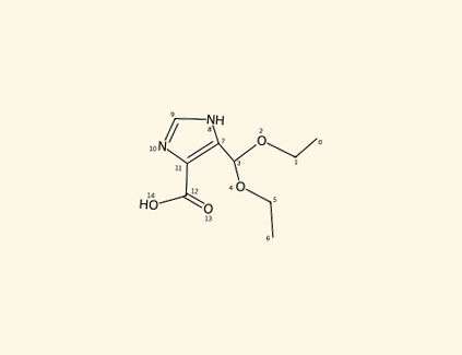 CCOC(OCC)c1[nH]cnc1C(=O)O